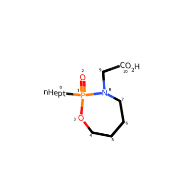 CCCCCCCP1(=O)OCCCCN1CC(=O)O